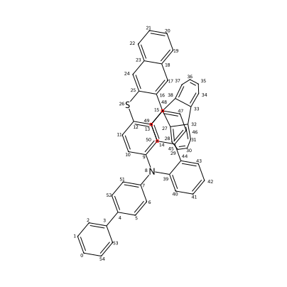 c1ccc(-c2ccc(N(c3ccc4c(c3)C3(c5cc6ccccc6cc5S4)c4ccccc4-c4ccccc43)c3ccccc3-c3ccccc3)cc2)cc1